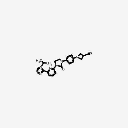 CC(C)n1cnnc1-c1cccc(N2CCN(c3ccc(N4CC(C#N)C4)cc3)C2=O)n1